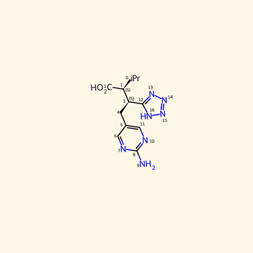 CC(C)[C@H](C(=O)O)[C@H](Cc1cnc(N)nc1)c1nnn[nH]1